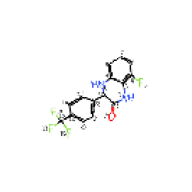 O=C1Nc2c(F)cccc2NC1c1ccc(C(F)(F)F)cc1